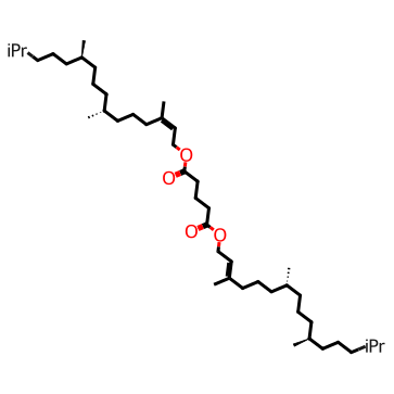 CC(=CCOC(=O)CCCC(=O)OCC=C(C)CCC[C@H](C)CCC[C@H](C)CCCC(C)C)CCC[C@H](C)CCC[C@H](C)CCCC(C)C